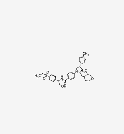 CCS(=O)(=O)c1ccc([C@H](CO)NC(=O)c2ccc(N3C[C@H](c4ccc(C)cc4)C[C@H]3CN3CCOC[C@@H]3C)cc2)cc1